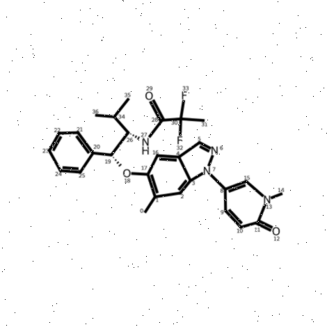 Cc1cc2c(cnn2-c2ccc(=O)n(C)c2)cc1O[C@H](c1ccccc1)[C@@H](NC(=O)C(C)(F)F)C(C)C